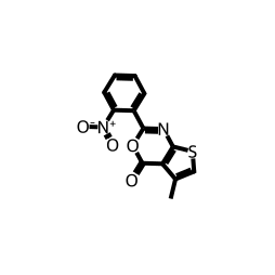 Cc1csc2nc(-c3ccccc3[N+](=O)[O-])oc(=O)c12